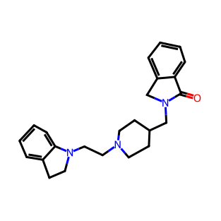 O=C1c2ccccc2CN1CC1CCN(CCN2CCc3ccccc32)CC1